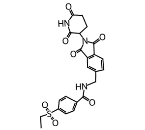 CCS(=O)(=O)c1ccc(C(=O)NCc2ccc3c(c2)C(=O)N(C2CCC(=O)NC2=O)C3=O)cc1